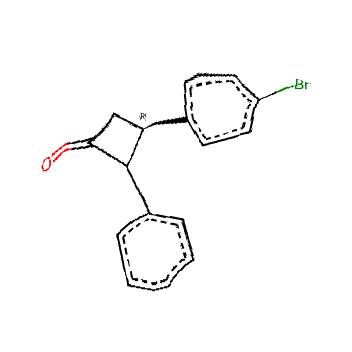 O=C1C[C@@H](c2ccc(Br)cc2)C1c1ccccc1